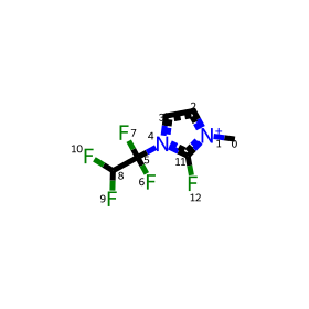 C[n+]1ccn(C(F)(F)C(F)F)c1F